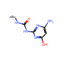 CCCCNC(=O)Nc1nc(N)cc(O)n1